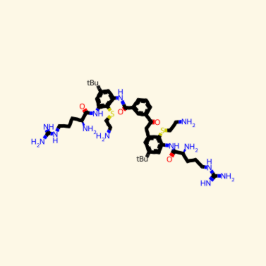 CC(C)(C)c1cc(CC(=O)c2cccc(C(=O)Nc3cc(C(C)(C)C)cc(NC(=O)[C@@H](N)CCCNC(=N)N)c3SCCN)c2)c(SCCN)c(NC(=O)[C@@H](N)CCCNC(=N)N)c1